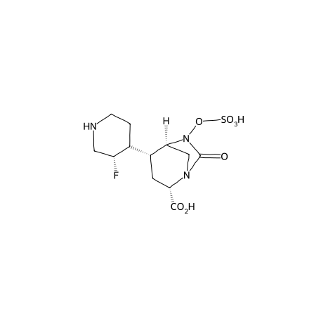 O=C(O)[C@@H]1C[C@H](C2CCNC[C@H]2F)[C@@H]2CN1C(=O)N2OS(=O)(=O)O